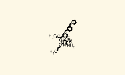 CCCCOc1nc(N)c([N+](=O)[O-])c(N2CCN(Cc3cccc(CN4CCCC4)c3)CC2C(=O)OCC)n1